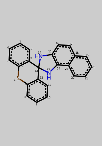 c1ccc2c(c1)Sc1ccccc1C21Nc2ccc3ccccc3c2N1